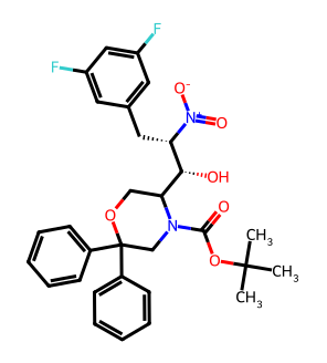 CC(C)(C)OC(=O)N1CC(c2ccccc2)(c2ccccc2)OCC1[C@@H](O)[C@H](Cc1cc(F)cc(F)c1)[N+](=O)[O-]